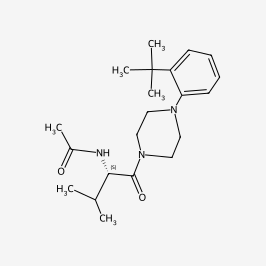 CC(=O)N[C@H](C(=O)N1CCN(c2ccccc2C(C)(C)C)CC1)C(C)C